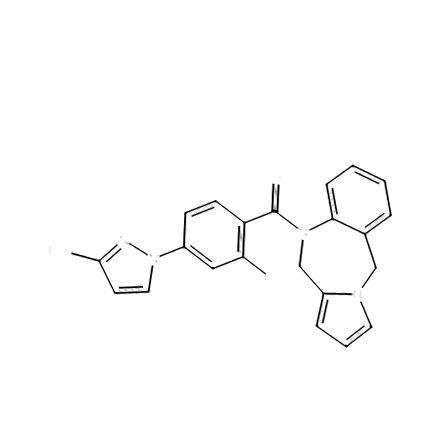 O=C(c1ccc(-n2ccc(C(F)(F)F)n2)cc1Cl)N1Cc2cccn2Cc2ccccc21